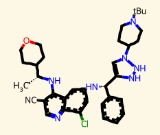 C[C@@H](Nc1c(C#N)cnc2c(Cl)cc(N[C@H](C3=CN(C4CCN(C(C)(C)C)CC4)NN3)c3ccccc3)cc12)C1CCOCC1